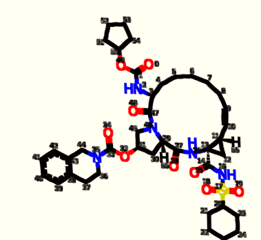 O=C(N[C@H]1CCCCC/C=C\[C@@H]2C[C@@]2(C(=O)NS(=O)(=O)C2CCCCC2)NC(=O)[C@@H]2C[C@@H](OC(=O)N3CCc4ccccc4C3)CN2C1=O)OC1CCCC1